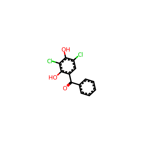 O=C(c1ccccc1)c1cc(Cl)c(O)c(Cl)c1O